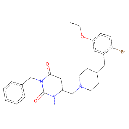 CCOc1ccc(Br)c(CC2CCN(CC3CC(=O)N(Cc4ccccc4)C(=O)N3C)CC2)c1